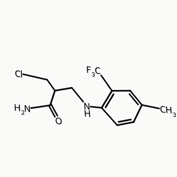 Cc1ccc(NCC(CCl)C(N)=O)c(C(F)(F)F)c1